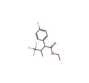 CCOC(=O)C(c1ccc(F)cc1)C(C)C(F)(F)F